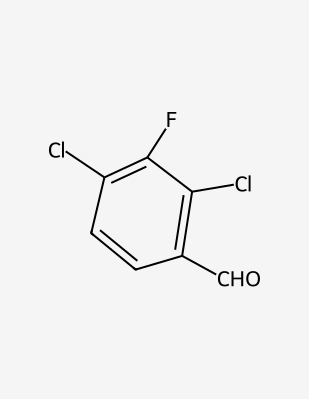 O=Cc1ccc(Cl)c(F)c1Cl